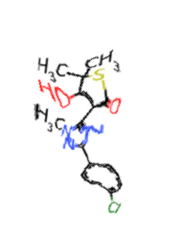 Cn1nc(-c2ccc(Cl)cc2)nc1C1=C(O)C(C)(C)SC1=O